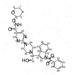 O=C(NOC1CCCCO1)c1cnc(N2CCN(C(CO)c3cn(S(=O)(=O)c4ccccc4)c4ccccc34)CC2)nc1